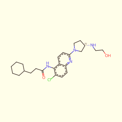 O=C(CCC1CCCCC1)Nc1c(Cl)ccc2nc(N3CC[C@H](NCCO)C3)ccc12